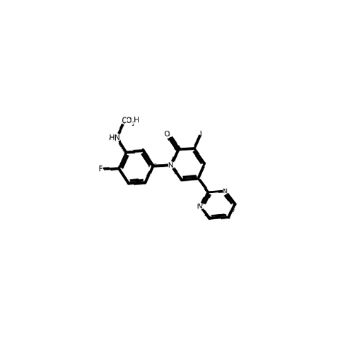 O=C(O)Nc1cc(-n2cc(-c3ncccn3)cc(I)c2=O)ccc1F